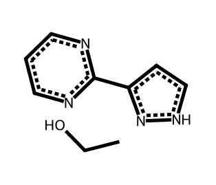 CCO.c1cnc(-c2cc[nH]n2)nc1